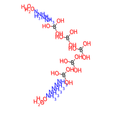 N.N.N.N.N.N.N.N.N.O.O.O.O.OB(O)O.OB(O)O.OB(O)O.OB(O)O.OB(O)O